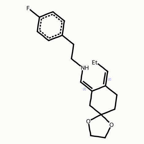 CC/C=C1/CCC2(C/C1=C/NCCc1ccc(F)cc1)OCCO2